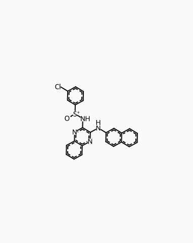 [O-][S+](Nc1nc2ccccc2nc1Nc1ccc2ccccc2c1)c1cccc(Cl)c1